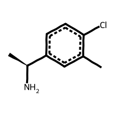 Cc1cc([C@H](C)N)ccc1Cl